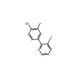 Cc1cc(-c2ncccc2Cl)ccc1O